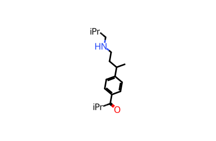 CC(C)CNCCC(C)c1ccc(C(=O)C(C)C)cc1